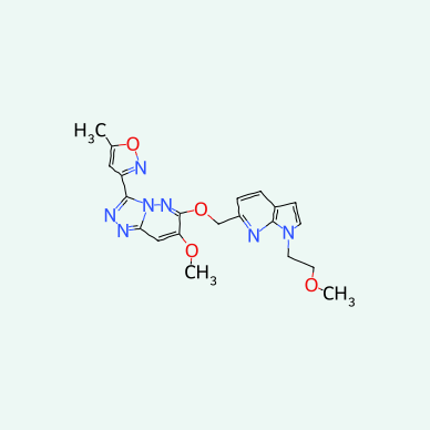 COCCn1ccc2ccc(COc3nn4c(-c5cc(C)on5)nnc4cc3OC)nc21